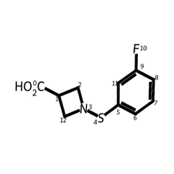 O=C(O)C1CN(Sc2cccc(F)c2)C1